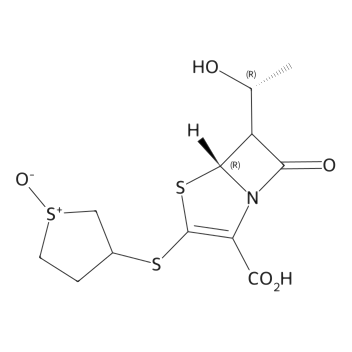 C[C@@H](O)C1C(=O)N2C(C(=O)O)=C(SC3CC[S+]([O-])C3)S[C@H]12